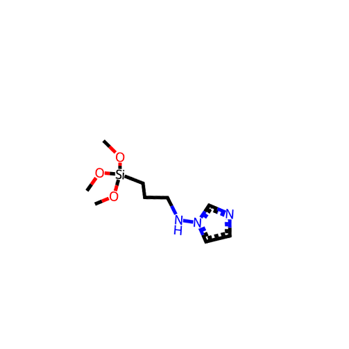 CO[Si](CCCNn1ccnc1)(OC)OC